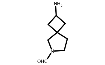 NC1CC2(CCN(C=O)C2)C1